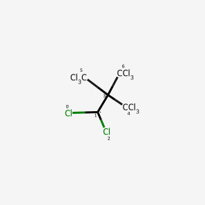 Cl[C](Cl)C(C(Cl)(Cl)Cl)(C(Cl)(Cl)Cl)C(Cl)(Cl)Cl